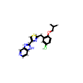 CC(C)COc1ccc(Cl)cc1Cc1nc(-c2nc3cnccc3[nH]2)cs1